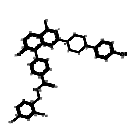 Cc1nc(N2CCN(c3ccc(O)cc3)CC2)nc2c1ccc(=O)n2-c1ccc(C(=O)NCc2ccc(F)cc2F)cc1